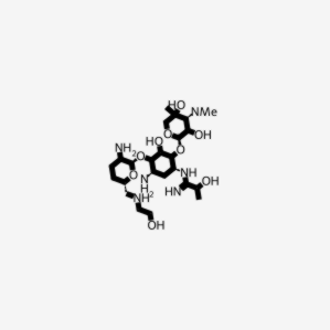 CN[C@@H]1C(O)[C@@H](OC2C(O)C(O[C@H]3O[C@H](CNCCO)CCC3N)[C@@H](N)C[C@H]2NC(=N)C(C)O)OCC1(C)O